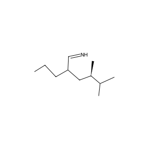 CCCC(C=N)C[C@@H](C)C(C)C